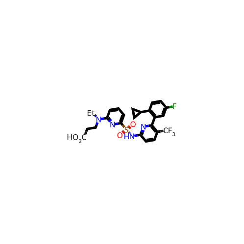 CCN(CCC(=O)O)c1cccc(S(=O)(=O)Nc2ccc(C(F)(F)F)c(-c3cc(F)ccc3C3CC3)n2)n1